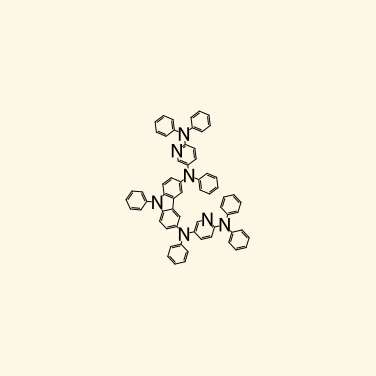 c1ccc(N(c2ccc(N(c3ccccc3)c3ccccc3)nc2)c2ccc3c(c2)c2cc(N(c4ccccc4)c4ccc(N(c5ccccc5)c5ccccc5)nc4)ccc2n3-c2ccccc2)cc1